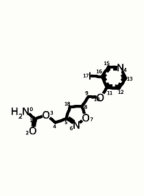 NC(=O)OCC1=NOC(COc2ccncc2I)C1